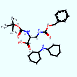 C1CCC(NC2CCCCC2)CC1.CC(C)(C)OC(=O)N[C@@H](CNC(=O)OCc1ccccc1)C(=O)O